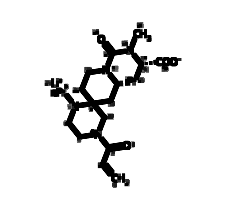 C=CC(=O)N1CCN(CCC)C2(CCN(C(=O)N(C)[C@H](C(=O)[O-])C(C)C)CC2)C1.[Li+]